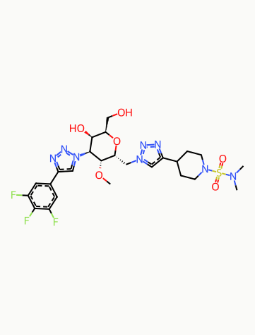 CO[C@@H]1[C@@H](n2cc(-c3cc(F)c(F)c(F)c3)nn2)[C@@H](O)[C@@H](CO)O[C@@H]1Cn1cc(C2CCN(S(=O)(=O)N(C)C)CC2)nn1